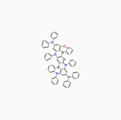 c1ccc(N(c2ccccc2)c2cc3c4c(c2)N(c2ccccc2)c2cc5c(nc2B4c2ccccc2O3)N(c2ccccc2)c2cc(N(c3ccccc3)c3ccccc3)cc3c2B5c2ccccc2N3c2ccccc2)cc1